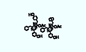 CC(=O)Oc1c(Cc2ccc(O)cc2)nc2c(Cc3ccccc3)nc(-c3cccc(O)c3)cn12.CC(=O)Oc1c(Cc2ccco2)nc2c(Cc3ccccc3)nc(-c3cccc(O)c3)cn12